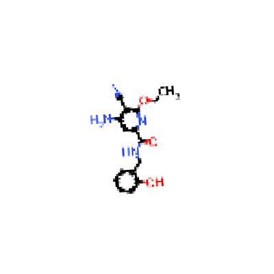 CCOc1nc(C(=O)NCc2ccccc2O)cc(N)c1C#N